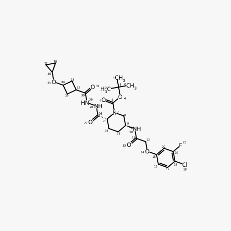 CC(C)(C)OC(=O)N1C[C@@H](NC(=O)COc2ccc(Cl)c(F)c2)CC[C@@H]1C(=O)NNC(=O)C1CC(OC2CC2)C1